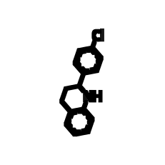 Clc1ccc(C2CCc3ccccc3N2)cc1